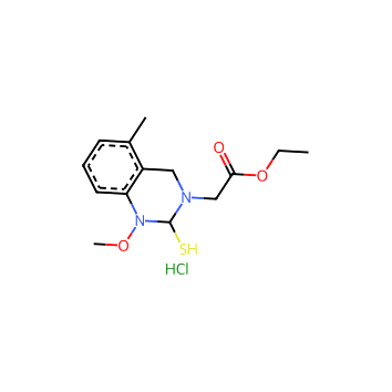 CCOC(=O)CN1Cc2c(C)cccc2N(OC)C1S.Cl